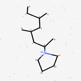 CCC(C)CC(C)CC(C)N1CCCC1